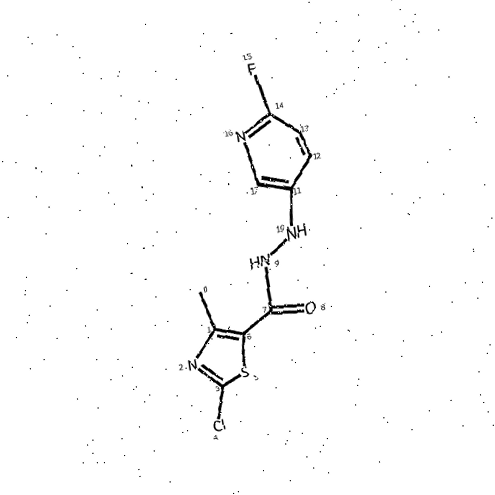 Cc1nc(Cl)sc1C(=O)NNc1ccc(F)nc1